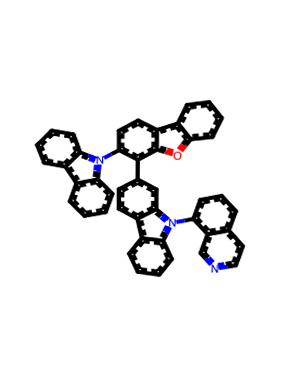 c1cc(-n2c3ccccc3c3ccc(-c4c(-n5c6ccccc6c6ccccc65)ccc5c4oc4ccccc45)cc32)c2cnccc2c1